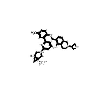 Cc1ccc(OCc2ccc3c(c2C)CCN(C2COC2)C3)c(-c2cccc(N3C[C@@H]4C[C@]4(C(=O)O)C3)n2)c1